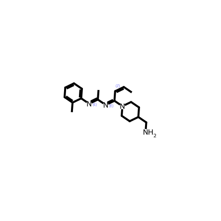 C\C=C/C(=N\C(C)=N\c1ccccc1C)N1CCC(CN)CC1